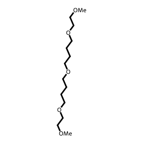 COCCOCCCCOCCCCOCCOC